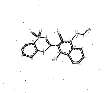 CC(C)CNn1c(=O)c(C2=NS(=O)(=O)c3ccccc3N2)c(O)c2ccccc21